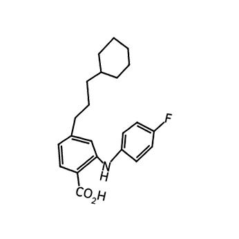 O=C(O)c1ccc(CCCC2CCCCC2)cc1Nc1ccc(F)cc1